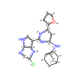 Clc1cnc2[nH]cc(-c3nc(NC4CC5CCC4CC5)cc(-c4ccco4)n3)c2n1